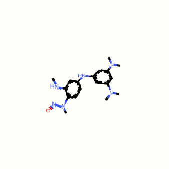 CNc1cc(Nc2cc(N(C)C)cc(N(C)C)c2)ccc1N(C)N=O